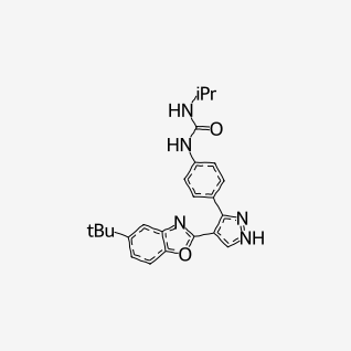 CC(C)NC(=O)Nc1ccc(-c2n[nH]cc2-c2nc3cc(C(C)(C)C)ccc3o2)cc1